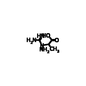 CC(C(=O)O)N(N)C(=N)N